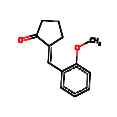 COc1ccccc1/C=C1\CCCC1=O